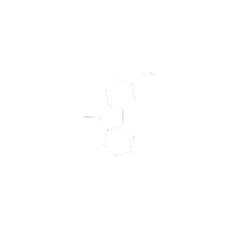 Bc1cnc2c(c1)c1c(n2C)CCC(NC)C1